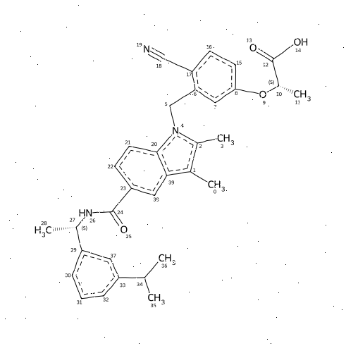 Cc1c(C)n(Cc2cc(O[C@@H](C)C(=O)O)ccc2C#N)c2ccc(C(=O)N[C@@H](C)c3cccc(C(C)C)c3)cc12